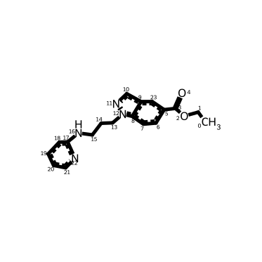 CCOC(=O)c1ccc2c(cnn2CCCNc2ccccn2)c1